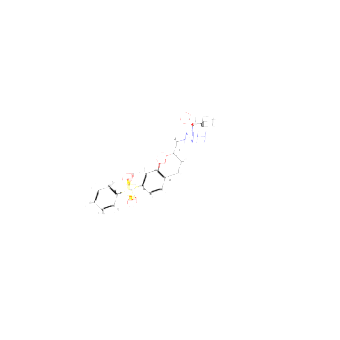 CCC(=O)NCC1CCc2ccc(S(=O)(=O)c3ccccc3)cc2O1